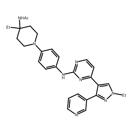 CCn1cc(-c2ccnc(Nc3ccc(N4CCC(CC)(NC(C)=O)CC4)cc3)n2)c(-c2cccnc2)n1